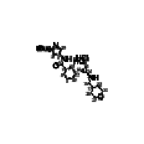 CC(C)(C)n1cc(NC(=O)c2cccc([C@@H]3C[C@H]3NCC3CCOCC3)c2)cn1.Cl.Cl